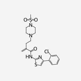 C=C(CCN1CCN(S(C)(=O)=O)CC1)C(=O)Nc1nc(-c2ccccc2Cl)cs1